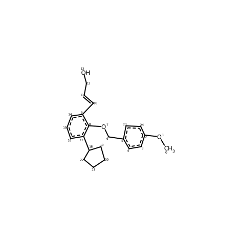 COc1ccc(COc2c(/C=C/CO)cccc2C2CCCC2)cc1